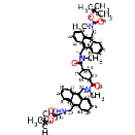 CN(Cc1c2ccccc2c(CN(C)C(=O)C2CCC(C(=O)N(C)Cc3c4ccccc4c(CNCC(=O)OC(C)(C)C)c4ccccc34)CC2)c2ccccc12)C(=O)OC(C)(C)C